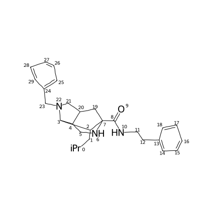 CC(C)CC1C2C3CNC1(C(=O)NCCc1ccccc1)CC3CN2Cc1ccccc1